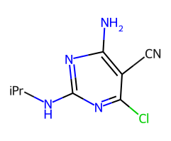 CC(C)Nc1nc(N)c(C#N)c(Cl)n1